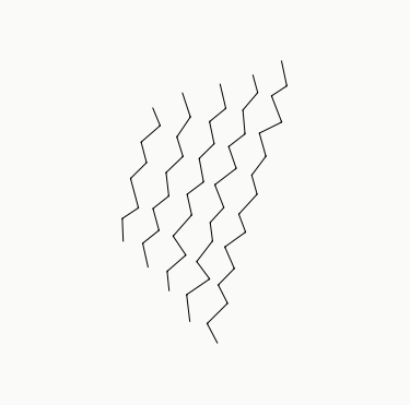 CCCCCCCC.CCCCCCCCCC.CCCCCCCCCCCC.CCCCCCCCCCCCCC.CCCCCCCCCCCCCCCC